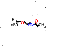 C=CC(=O)NCCCOCC(CC)CCCC